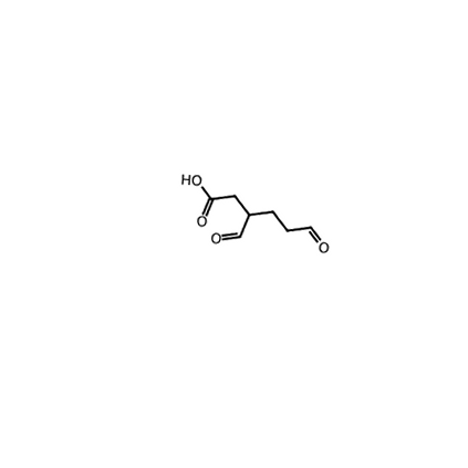 O=CCCC(C=O)CC(=O)O